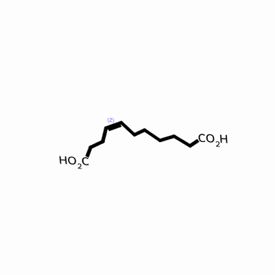 O=C(O)CC/C=C\CCCCCC(=O)O